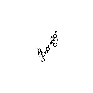 O=C(Nc1ccc(F)cc1F)N(CCCc1ccc(CCCN(C(=O)Nc2ccc(F)cc2F)C2CCCCC2)cc1)C1CCCCC1